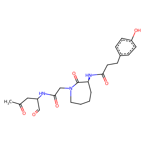 CC(=O)CC(C=O)NC(=O)CN1CCCC[C@H](NC(=O)CCc2ccc(O)cc2)C1=O